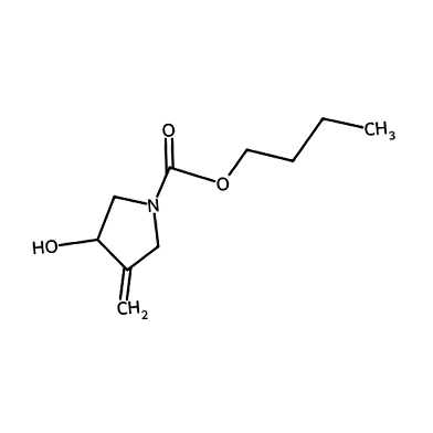 C=C1CN(C(=O)OCCCC)CC1O